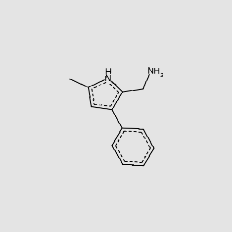 Cc1cc(-c2ccccc2)c(CN)[nH]1